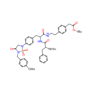 COc1ccc(CN2C(=O)CN(c3ccc(CC(NC(=O)C(Cc4ccccc4)NC(C)=O)C(=O)NCCc4ccc(CC(=O)OC(C)(C)C)cc4)cc3)S2(=O)=O)cc1